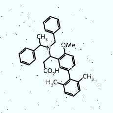 COc1ccc(-c2c(C)cccc2C)cc1C(CC(=O)O)N(Cc1ccccc1)C(C)c1ccccc1